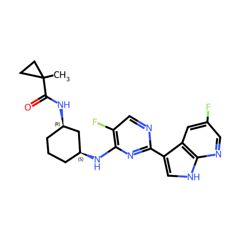 CC1(C(=O)N[C@@H]2CCC[C@H](Nc3nc(-c4c[nH]c5ncc(F)cc45)ncc3F)C2)CC1